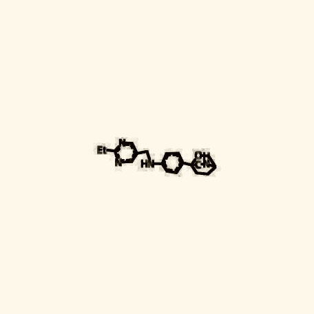 CCc1ncc(CNc2ccc(C34CCC(CO3)NC4)cc2)cn1